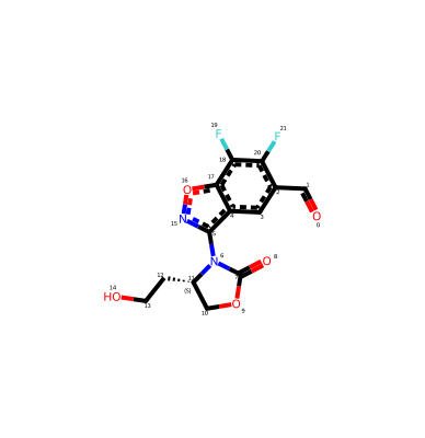 O=Cc1cc2c(N3C(=O)OC[C@@H]3CCO)noc2c(F)c1F